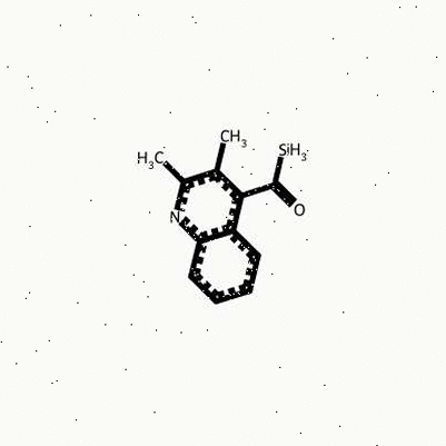 Cc1nc2ccccc2c(C(=O)[SiH3])c1C